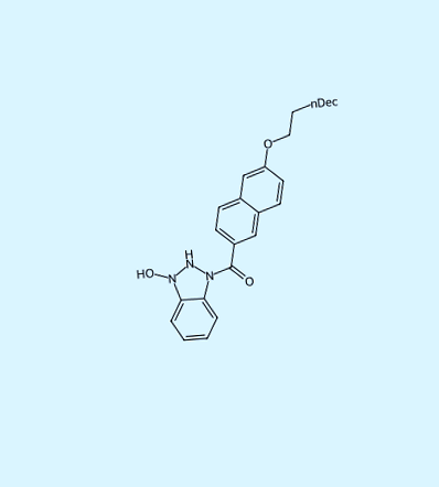 CCCCCCCCCCCCOc1ccc2cc(C(=O)N3NN(O)c4ccccc43)ccc2c1